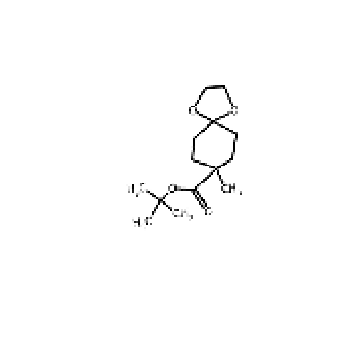 CC(C)(C)OC(=O)C1(C)CCC2(CC1)OCCO2